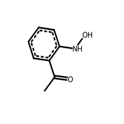 CC(=O)c1ccccc1NO